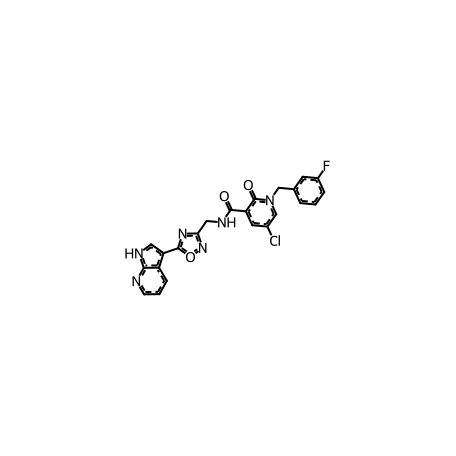 O=C(NCc1noc(-c2c[nH]c3ncccc23)n1)c1cc(Cl)cn(Cc2cccc(F)c2)c1=O